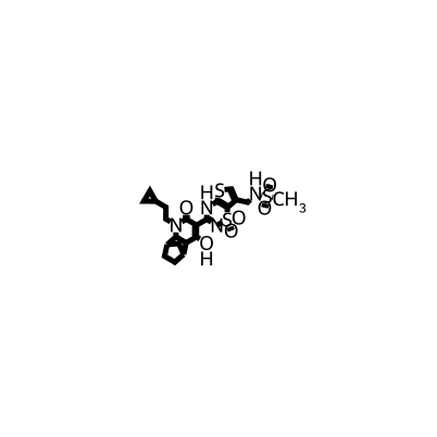 CS(=O)(=O)NCc1csc2c1S(=O)(=O)N=C(C1=C(O)C3C4CCC(C4)C3N(CCC3CC3)C1=O)N2